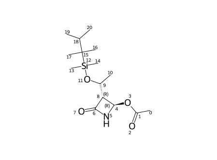 CC(=O)O[C@H]1NC(=O)[C@@H]1C(C)O[Si](C)(C)C(C)(C)C(C)C